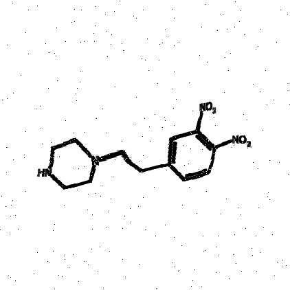 O=[N+]([O-])c1ccc(CCN2CCNCC2)cc1[N+](=O)[O-]